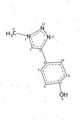 Cn1cc(-c2ccc(O)cc2)nn1